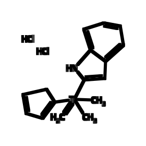 Cl.Cl.[CH2]=[Ti]([CH3])([CH3])([C]1=CC=CC1)[c]1cc2ccccc2[nH]1